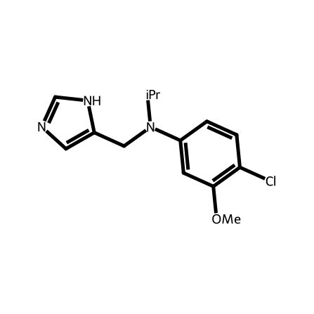 COc1cc(N(Cc2cnc[nH]2)C(C)C)ccc1Cl